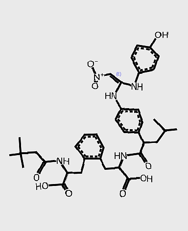 CC(C)CC(C(=O)NC(Cc1ccccc1CC(NC(=O)CC(C)(C)C)C(=O)O)C(=O)O)c1ccc(N/C(=C\[N+](=O)[O-])Nc2ccc(O)cc2)cc1